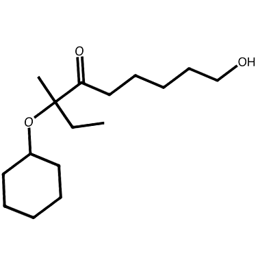 CCC(C)(OC1CCCCC1)C(=O)CCCCCO